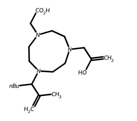 C=C(O)CN1CCN(CC(=O)O)CCN(C(CCCC)C(=C)C)CC1